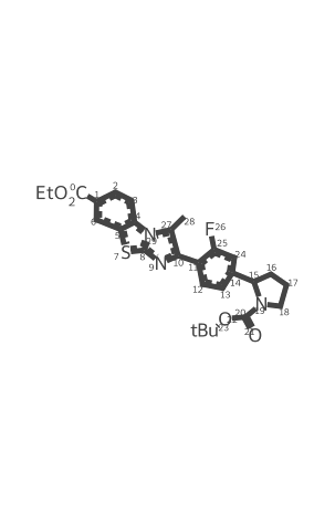 CCOC(=O)c1ccc2c(c1)sc1nc(-c3ccc(C4CCCN4C(=O)OC(C)(C)C)cc3F)c(C)n12